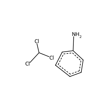 ClC(Cl)Cl.Nc1ccccc1